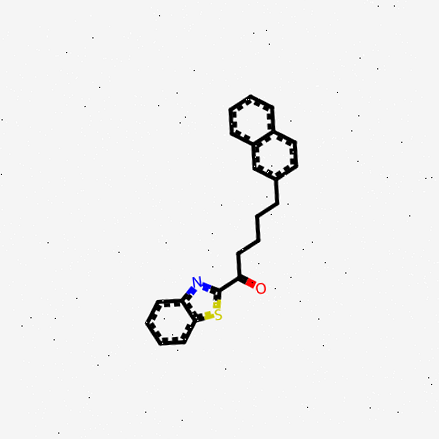 O=C(CCCCc1ccc2ccccc2c1)c1nc2ccccc2s1